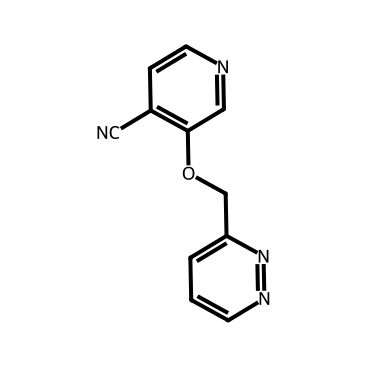 N#Cc1ccncc1OCc1cccnn1